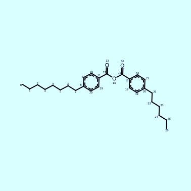 CCCCCCCCc1ccc(C(=O)OC(=O)c2ccc(CCCCCC)cc2)cc1